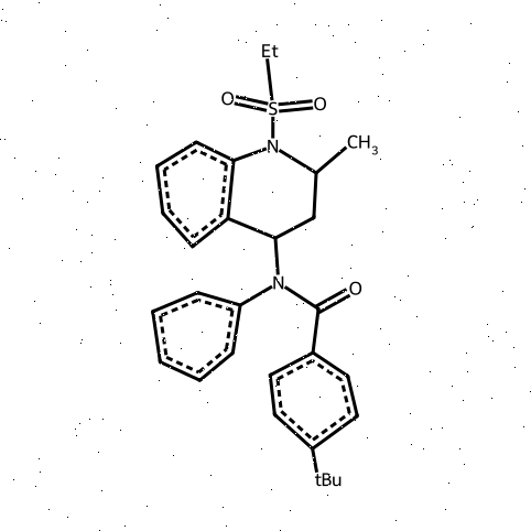 CCS(=O)(=O)N1c2ccccc2C(N(C(=O)c2ccc(C(C)(C)C)cc2)c2ccccc2)CC1C